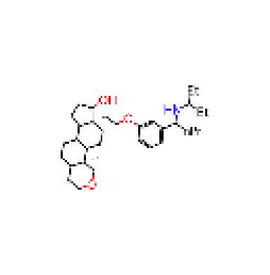 CCCC(NC(CC)CC)c1cccc(OCC[C@]23CCC4C(CCC5CCOC[C@@]54C)C2CCC3O)c1